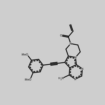 C=CC(=O)N1CCn2c(c(C#Cc3cc(OC)cc(OC)c3)c3c(N)ncnc32)C1